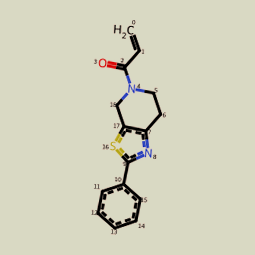 C=CC(=O)N1CCc2nc(-c3ccccc3)sc2C1